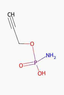 C#CCOP(N)(=O)O